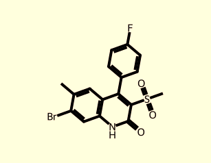 Cc1cc2c(-c3ccc(F)cc3)c(S(C)(=O)=O)c(=O)[nH]c2cc1Br